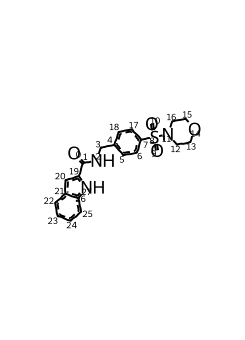 O=C(NCc1ccc(S(=O)(=O)N2CCOCC2)cc1)c1cc2ccccc2[nH]1